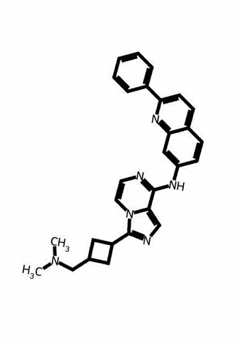 CN(C)CC1CC(c2ncc3c(Nc4ccc5ccc(-c6ccccc6)nc5c4)nccn23)C1